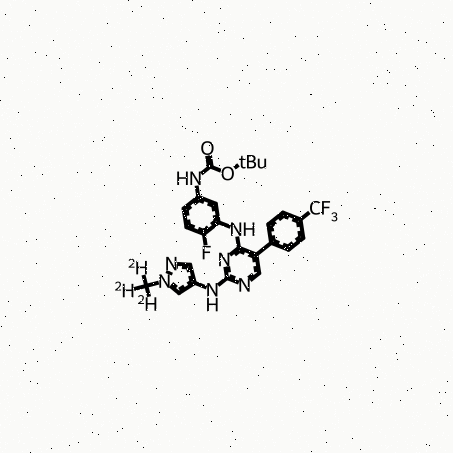 [2H]C([2H])([2H])n1cc(Nc2ncc(-c3ccc(C(F)(F)F)cc3)c(Nc3cc(NC(=O)OC(C)(C)C)ccc3F)n2)cn1